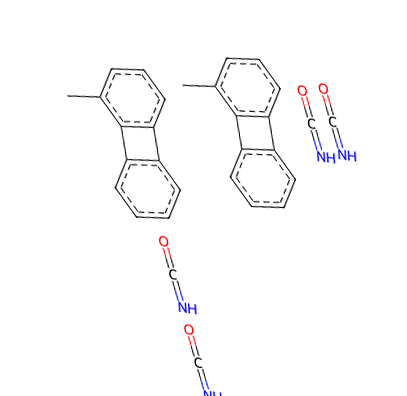 Cc1cccc2c1-c1ccccc1-2.Cc1cccc2c1-c1ccccc1-2.N=C=O.N=C=O.N=C=O.N=C=O